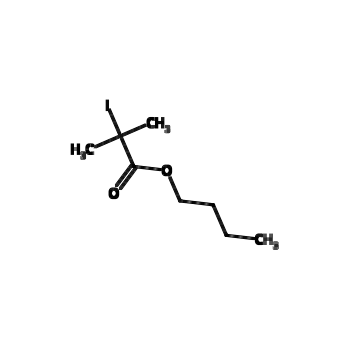 CCCCOC(=O)C(C)(C)I